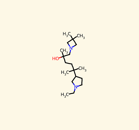 CCN1CCC(C(C)(C)CCC(C)(O)CN2CC(C)(C)C2)C1